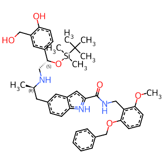 COc1cccc(OCc2ccccc2)c1CNC(=O)c1cc2cc(C[C@@H](C)NC[C@@H](O[Si](C)(C)C(C)(C)C)c3ccc(O)c(CO)c3)ccc2[nH]1